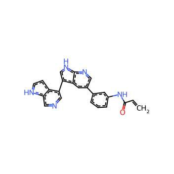 C=CC(=O)Nc1cccc(-c2cnc3[nH]cc(-c4cncc5[nH]ccc45)c3c2)c1